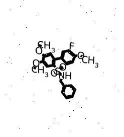 COc1ccc(-c2cc(OC)c(OC)cc2S(=O)(=O)NCc2ccccc2)cc1F